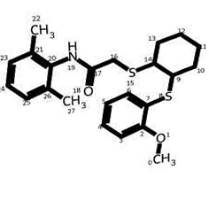 COc1ccccc1SC1CCCCC1SCC(=O)Nc1c(C)cccc1C